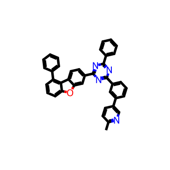 Cc1ccc(-c2cccc(-c3nc(-c4ccccc4)nc(-c4ccc5c(c4)oc4cccc(-c6ccccc6)c45)n3)c2)cn1